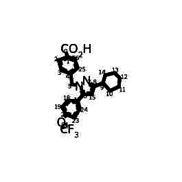 O=C(O)c1ccc(Cn2nc(C3CCCCC3)cc2-c2ccc(OC(F)(F)F)cc2)cc1